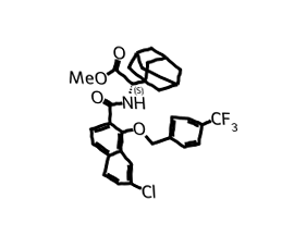 COC(=O)[C@@H](NC(=O)c1ccc2ccc(Cl)cc2c1OCc1ccc(C(F)(F)F)cc1)C12CC3CC(CC(C3)C1)C2